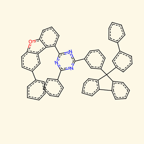 c1ccc(-c2cccc(C3(c4cccc(-c5nc(-c6ccccc6)nc(-c6cccc7oc8ccc(-c9ccccc9)cc8c67)n5)c4)c4ccccc4-c4ccccc43)c2)cc1